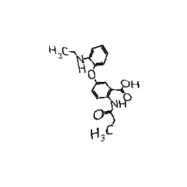 CCNc1ccccc1Oc1ccc(NC(=O)CC)c(C(=O)O)c1